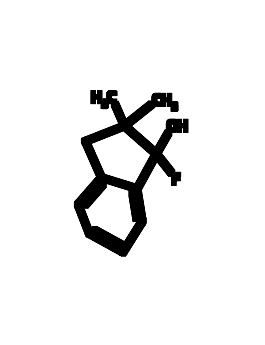 CC1(C)Cc2ccccc2C1(O)F